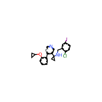 Clc1ccc(I)cc1CNC1(c2cnccc2-c2ccccc2OC2CC2)CC1